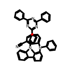 N#Cc1cc(-c2nc(-c3ccccc3)nc(-c3ccccc3)n2)ccc1-n1c2ccccc2c2cccc(N(c3ccccc3)c3ccccc3)c21